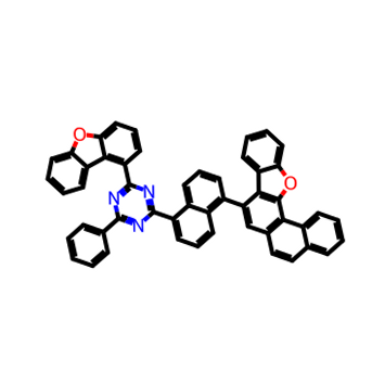 c1ccc(-c2nc(-c3cccc4c(-c5cc6ccc7ccccc7c6c6oc7ccccc7c56)cccc34)nc(-c3cccc4oc5ccccc5c34)n2)cc1